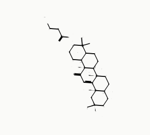 CC1(C)C2CC[C@]3(C)[C@H](C(=O)C=C4[C@H]5C[C@](C)(C(=O)O)CC[C@]5(C)CC[C@]43C)[C@@]2(C)CC[C@@H]1OC(=O)CCC(=O)O